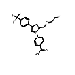 O=C(O)c1ccc(N2CC(c3ccc(C(F)(F)F)cc3)C[C@H]2COCCF)cc1